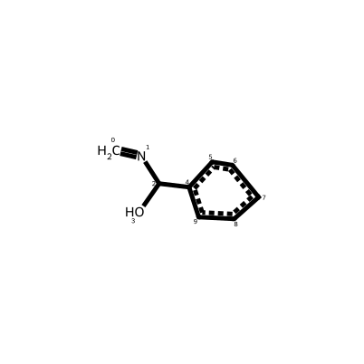 C=NC(O)c1ccccc1